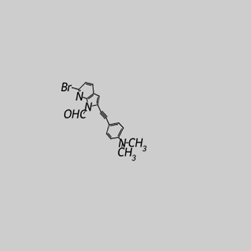 CN(C)c1ccc(C#Cc2cc3ccc(Br)nc3n2C=O)cc1